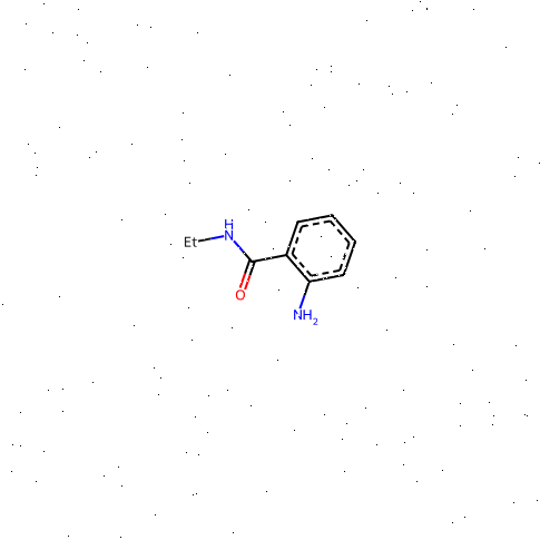 CCNC(=O)c1ccccc1N